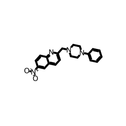 O=[N+]([O-])c1ccc2nc(CN3CCN(c4ccccc4)CC3)ccc2c1